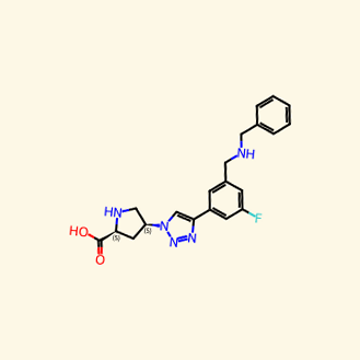 O=C(O)[C@@H]1C[C@H](n2cc(-c3cc(F)cc(CNCc4ccccc4)c3)nn2)CN1